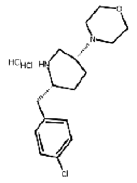 Cl.Cl.Clc1ccc(C[C@H]2CC[C@@H](N3CCOCC3)CN2)cc1